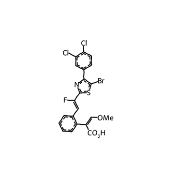 COC=C(C(=O)O)c1ccccc1C=C(F)c1nc(-c2ccc(Cl)c(Cl)c2)c(Br)s1